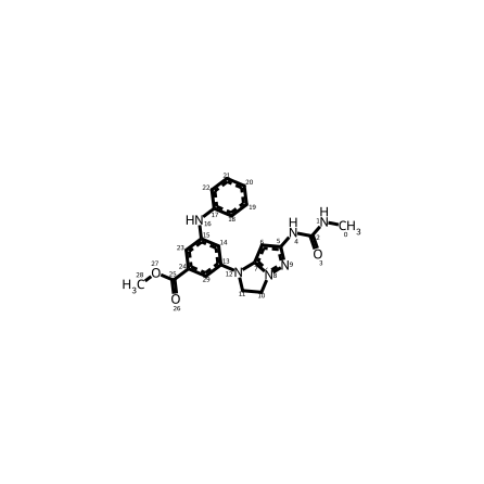 CNC(=O)Nc1cc2n(n1)CCN2c1cc(Nc2ccccc2)cc(C(=O)OC)c1